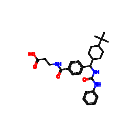 CC(C)(C)C1CCC(C(NC(=O)Nc2ccccc2)c2ccc(C(=O)NCCC(=O)O)cc2)CC1